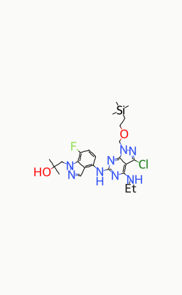 CCNc1nc(Nc2ccc(F)c3c2cnn3CC(C)(C)O)nc2c1c(Cl)nn2COCC[Si](C)(C)C